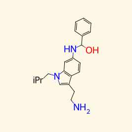 CC(C)Cn1cc(CCN)c2ccc(NC(O)c3ccccc3)cc21